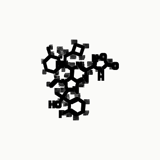 C=C([C@H]1CC[C@H](C)CC1)n1c(C(C)(O)c2ccccc2F)nc2nc(-c3noc(=O)[nH]3)nc(N[C@H](C)C3CCC3)c21